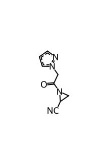 N#CC1CN1C(=O)Cn1cccn1